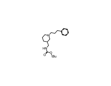 CC(C)(C)OC(=O)NCC1CCCN(CCCc2ccccc2)C1